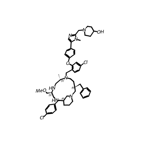 COC[C@@H]1CN[C@@]2(Cc3ccc(Cl)cc3)CCCN(C[C@H](Cc3ccccc3)CCN(Cc3ccc(Cl)cc3Oc3ccc(-c4cnc(CN5CCC(O)CC5)n4C)cc3)[C@@H](C)CN1)C2